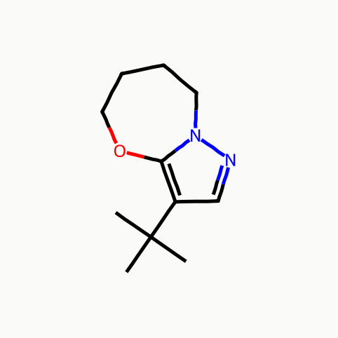 CC(C)(C)c1cnn2c1OCCCC2